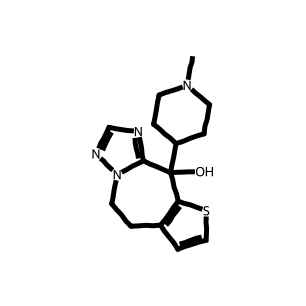 CN1CCC(C2(O)c3sccc3CCn3ncnc32)CC1